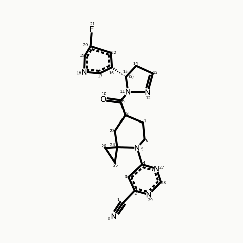 N#Cc1cc(N2CCC(C(=O)N3N=CC[C@H]3c3cncc(F)c3)CC23CC3)ncn1